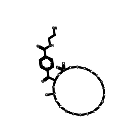 O=C(NCCO)c1ccc(C(=O)C2C[S+]([O-])CCOCCOCCOCCOCCOCCS(=O)(=O)C2)cc1